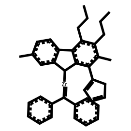 CCCc1c(C)c(C2=CC=CC2)c2c(c1CCC)-c1ccc(C)cc1[CH]2[Zr]=[C](c1ccccc1)c1ccccc1